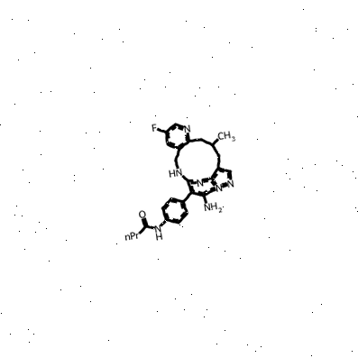 CCCC(=O)Nc1ccc(-c2c3nc4c(cnn4c2N)CC(C)Cc2ncc(F)cc2CN3)cc1